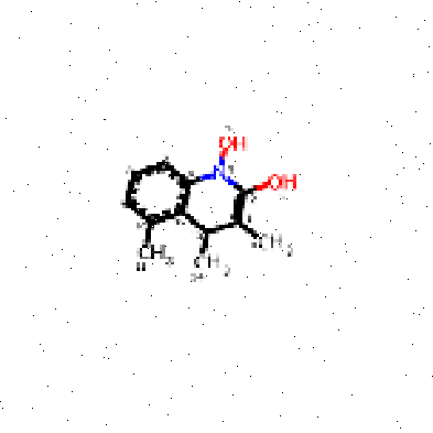 CC1=C(O)N(O)c2cccc(C)c2C1C